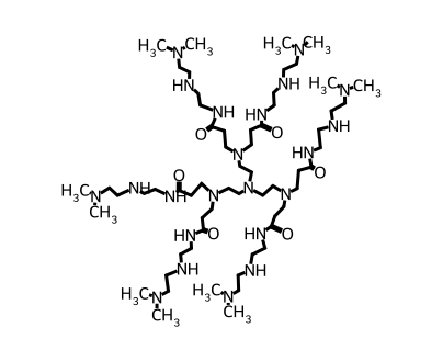 CN(C)CCNCCNC(=O)CCN(CCC(=O)NCCNCCN(C)C)CCN(CCN(CCC(=O)NCCNCCN(C)C)CCC(=O)NCCNCCN(C)C)CCN(CCC(=O)NCCNCCN(C)C)CCC(=O)NCCNCCN(C)C